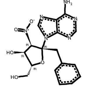 Nc1ncnc2c1ncn2[C@]1(Cc2ccccc2)O[C@H](CO)[C@@H](O)[C@H]1[N+](=O)[O-]